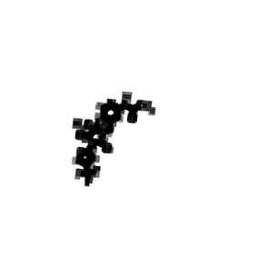 CC(=O)Nc1cc(CN2C(=O)N(c3cc(C(F)(F)F)cs3)C(=O)C2(C)C)ccn1